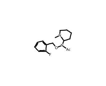 CC(=O)N(OCc1ccccc1F)C1CCCCN1C